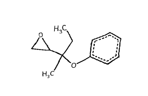 CCC(C)(Oc1ccccc1)C1CO1